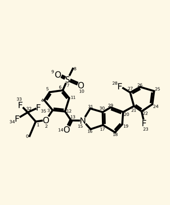 CC(Oc1ccc(S(C)(=O)=O)cc1C(=O)N1Cc2ccc(-c3c(F)cccc3F)cc2C1)C(F)(F)F